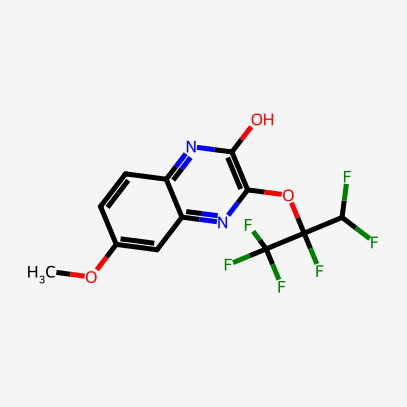 COc1ccc2nc(O)c(OC(F)(C(F)F)C(F)(F)F)nc2c1